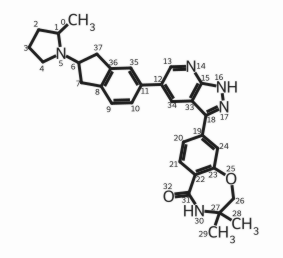 CC1CCCN1C1Cc2ccc(-c3cnc4[nH]nc(-c5ccc6c(c5)OCC(C)(C)NC6=O)c4c3)cc2C1